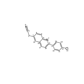 N#CCc1ccc2nc(-c3ccc(Cl)cc3)ccc2c1